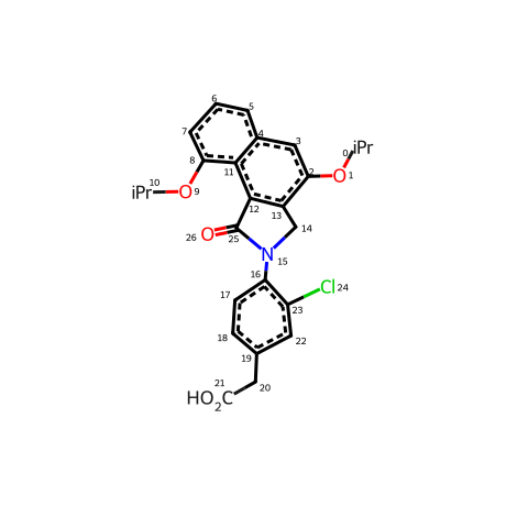 CC(C)Oc1cc2cccc(OC(C)C)c2c2c1CN(c1ccc(CC(=O)O)cc1Cl)C2=O